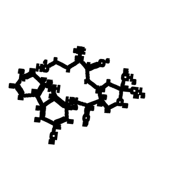 CCN(CCO)C(=O)CN1CC(C)(C)OC[C@H]1C(=O)Nc1cc(Cl)cc2c1[nH]c1cnccc12